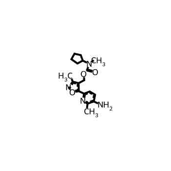 Cc1nc(-c2onc(C)c2COC(=O)N(C)C2CCCC2)ccc1N